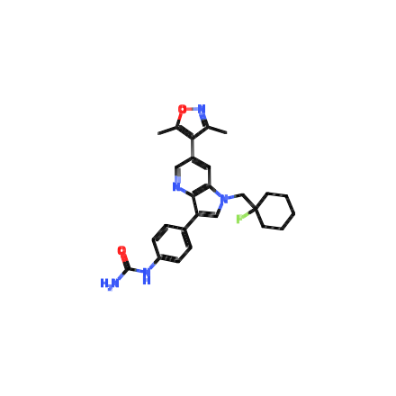 Cc1noc(C)c1-c1cnc2c(-c3ccc(NC(N)=O)cc3)cn(CC3(F)CCCCC3)c2c1